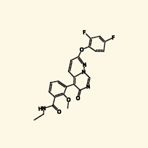 CCNC(=O)c1cccc(-c2c(=O)ncn3nc(Oc4ccc(F)cc4F)ccc23)c1OC